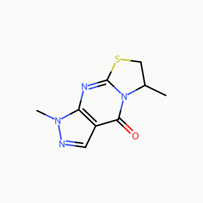 CC1CSc2nc3c(cnn3C)c(=O)n21